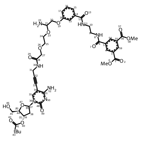 COC(=O)c1cc(C(=O)NCCNC(=O)c2cccc(OCC(N)OCCOCC(=O)NCC#Cc3cn([C@H]4C[C@H](OC(=O)C(C)(C)C)[C@@H](CO)O4)c(=O)nc3N)c2)cc(C(=O)OC)c1